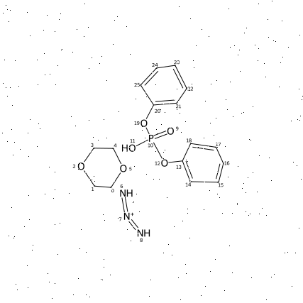 C1COCCO1.N=[N+]=N.O=P(O)(Oc1ccccc1)Oc1ccccc1